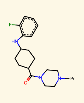 CC(C)N1CCN(C(=O)C2CCC(Nc3ccccc3F)CC2)CC1